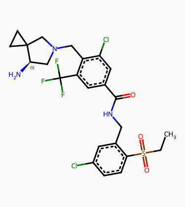 CCS(=O)(=O)c1ccc(Cl)cc1CNC(=O)c1cc(Cl)c(CN2C[C@@H](N)C3(CC3)C2)c(C(F)(F)F)c1